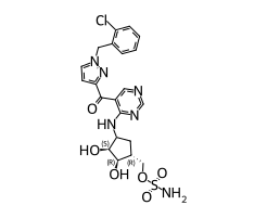 NS(=O)(=O)OC[C@H]1CC(Nc2ncncc2C(=O)c2ccn(Cc3ccccc3Cl)n2)[C@H](O)[C@@H]1O